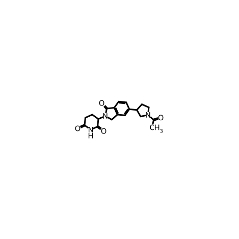 CC(=O)N1CCC(c2ccc3c(c2)CN(C2CCC(=O)NC2=O)C3=O)C1